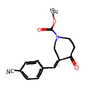 CC(C)(C)OC(=O)N1CCC(=O)/C(=C/c2ccc(C#N)cc2)C1